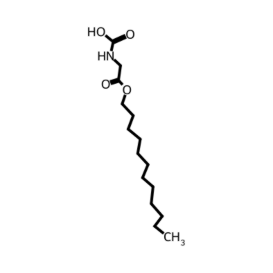 CCCCCCCCCCCCOC(=O)CNC(=O)O